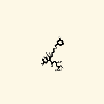 C[C@@H](CC(=O)c1c(CCCCOCc2cccc(Cl)c2)n(C)c2ncc(Cl)cc12)Cc1nnn[nH]1